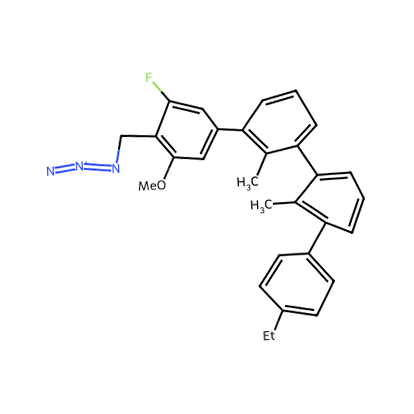 CCc1ccc(-c2cccc(-c3cccc(-c4cc(F)c(CN=[N+]=[N-])c(OC)c4)c3C)c2C)cc1